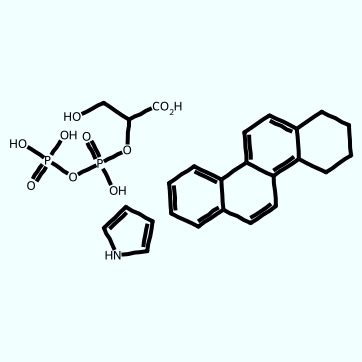 O=C(O)C(CO)OP(=O)(O)OP(=O)(O)O.c1cc[nH]c1.c1ccc2c(c1)ccc1c3c(ccc12)CCCC3